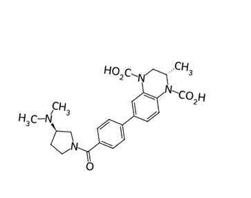 C[C@H]1CN(C(=O)O)c2cc(-c3ccc(C(=O)N4CC[C@@H](N(C)C)C4)cc3)ccc2N1C(=O)O